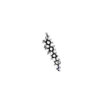 C/C=C/C1CCC(c2ccc(-c3ccc(-c4ccc(OCC)c(F)c4F)c(F)c3F)cc2)CO1